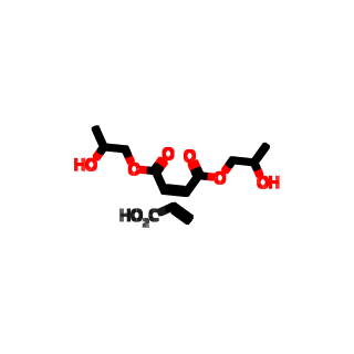 C=CC(=O)O.CC(O)COC(=O)/C=C\C(=O)OCC(C)O